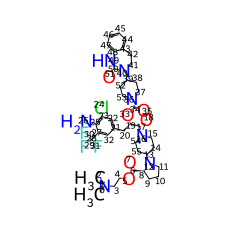 CN(C)CCOC(=O)[C@@H]1CCCN1C1CCN(C(=O)[C@@H](Cc2cc(Cl)c(N)c(C(F)(F)F)c2)OC(=O)N2CCC(N3CCc4ccccc4NC3=O)CC2)CC1